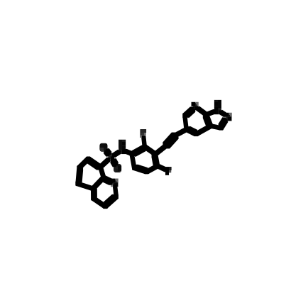 O=S(=O)(Nc1ccc(F)c(C#Cc2cnc3[nH]ncc3c2)c1F)c1cccc2cccnc12